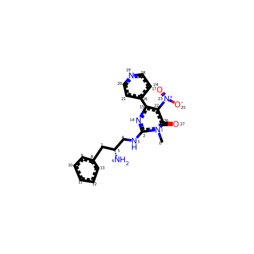 Cn1c(NC[C@H](N)Cc2ccccc2)nc(-c2ccncc2)c([N+](=O)[O-])c1=O